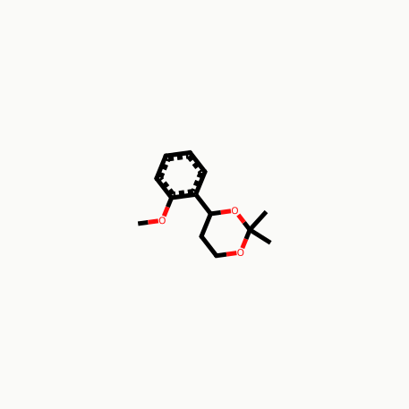 COc1ccccc1C1CCOC(C)(C)O1